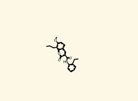 CCCc1c(OC)ccc2cc(C(=O)Nc3ccccc3CC)c(=O)oc12